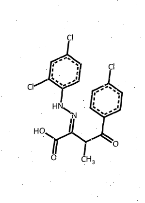 CC(C(=O)c1ccc(Cl)cc1)C(=NNc1ccc(Cl)cc1Cl)C(=O)O